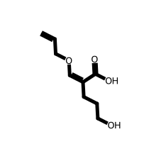 C=CCOC=C(CCCO)C(=O)O